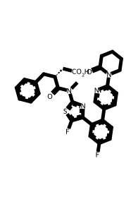 CN(C(=O)[C@@H](CC(=O)O)Cc1ccccc1)c1nc(-c2cc(F)ccc2-c2ccc(N3CCCCC3=O)nc2)c(F)s1